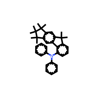 CC1(C)c2cc3c(cc2-c2c(N(c4ccccc4)c4ccccc4)cccc21)C(C)(C)C(C)(C)C3(C)C